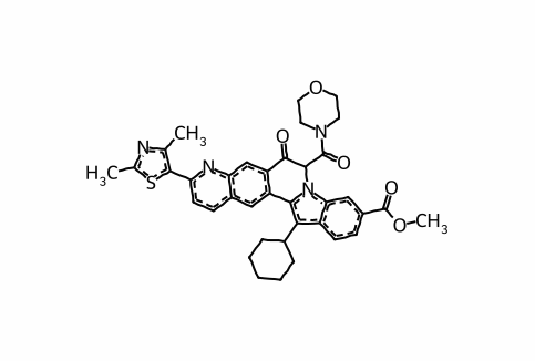 COC(=O)c1ccc2c(C3CCCCC3)c3n(c2c1)C(C(=O)N1CCOCC1)C(=O)c1cc2nc(-c4sc(C)nc4C)ccc2cc1-3